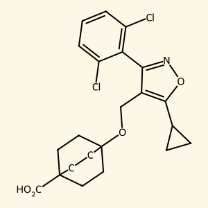 O=C(O)C12CCC(OCc3c(-c4c(Cl)cccc4Cl)noc3C3CC3)(CC1)CC2